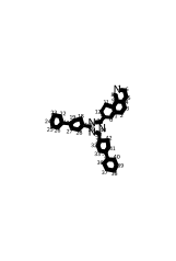 C1=c2ccc3ccncc3c2=CCC1c1nc(-c2ccc(-c3ccccc3)cc2)nc(-c2ccc(-c3ccccc3)cc2)n1